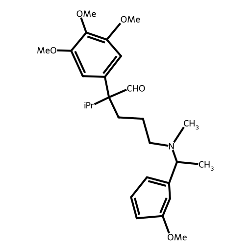 COc1cccc(C(C)N(C)CCCC(C=O)(c2cc(OC)c(OC)c(OC)c2)C(C)C)c1